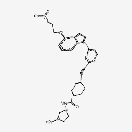 CCCN1CC[C@@H](NC(=O)[C@H]2CC[C@H](C#Cc3nccc(-n4ccc5c(OCCC[SH](=O)=O)cccc54)n3)CC2)C1